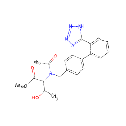 CCCCC(=O)N(Cc1ccc(-c2ccccc2-c2nnn[nH]2)cc1)C(C(=O)OC)C(C)O